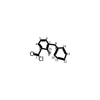 O=C(Cl)c1cccc(Cc2ccccc2)c1F